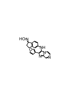 O/N=C1\CCc2cc(Nc3c(-c4ccoc4)nc4cnccn34)ccc21